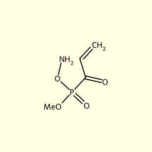 C=CC(=O)P(=O)(OC)ON